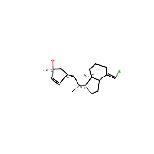 C[C@H](C[C@H]1C=C[C@@](C)(O)C1)[C@H]1CCC2C(=CBr)CCC[C@@]21C